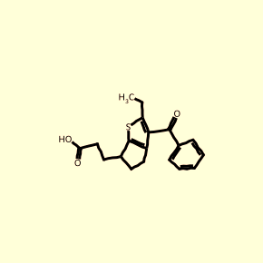 CCc1sc2c(c1C(=O)c1ccccc1)CCC2CCC(=O)O